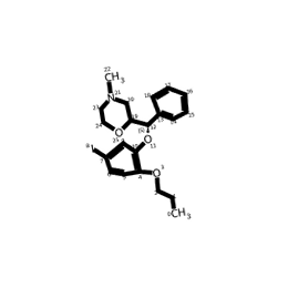 CCCOc1ccc(I)cc1O[C@@H](c1ccccc1)C1CN(C)CCO1